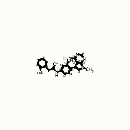 CCc1ccccc1CC(=O)Nc1ccc(-c2cn(C)c3ncnc(N)c23)c(C)c1